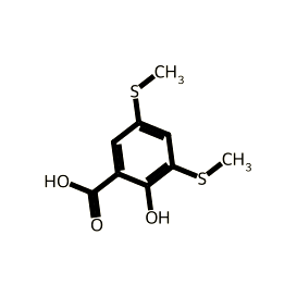 CSc1cc(SC)c(O)c(C(=O)O)c1